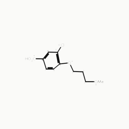 COCCCOc1ccc(C(=O)O)cc1Cl